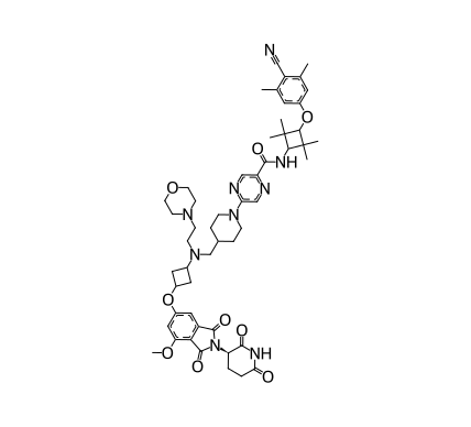 COc1cc(OC2CC(N(CCN3CCOCC3)CC3CCN(c4cnc(C(=O)NC5C(C)(C)C(Oc6cc(C)c(C#N)c(C)c6)C5(C)C)cn4)CC3)C2)cc2c1C(=O)N([C@@H]1CCC(=O)NC1=O)C2=O